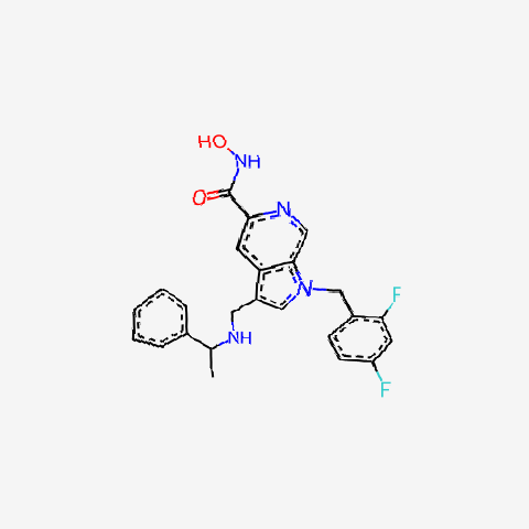 CC(NCc1cn(Cc2ccc(F)cc2F)c2cnc(C(=O)NO)cc12)c1ccccc1